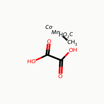 CC(=O)O.O=C(O)C(=O)O.[Co].[Mn]